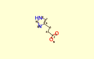 COC(=O)[CH]Cc1c[nH]cn1